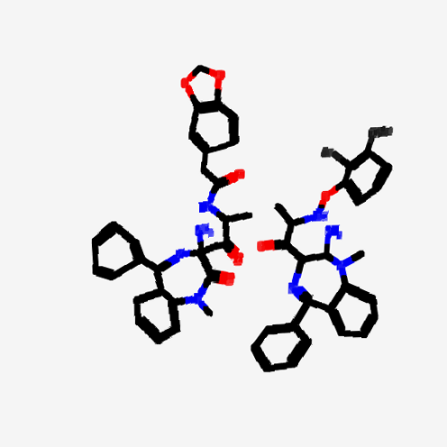 CC(NC(=O)Cc1ccc2c(c1)OCO2)C(=O)C1(N)N=C(c2ccccc2)c2ccccc2N(C)C1=O.COc1cccc(ONC(C)C(=O)C2N=C(c3ccccc3)c3ccccc3N(C)C2N)c1C(C)=O